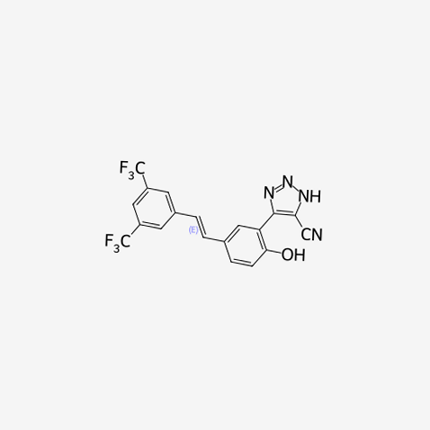 N#Cc1[nH]nnc1-c1cc(/C=C/c2cc(C(F)(F)F)cc(C(F)(F)F)c2)ccc1O